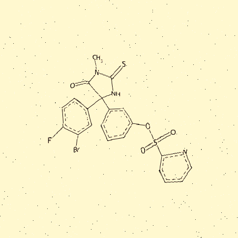 CN1C(=O)C(c2cccc(OS(=O)(=O)c3ccccn3)c2)(c2ccc(F)c(Br)c2)NC1=S